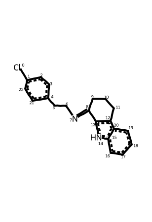 Clc1ccc(CC/N=C2\CCCc3c2[nH]c2ccccc32)cc1